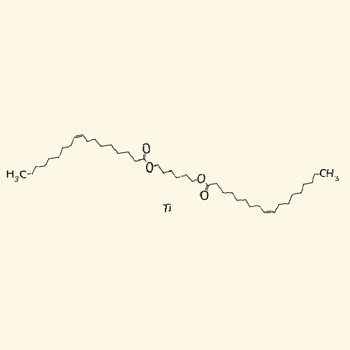 CCCCCCCC/C=C\CCCCCCCC(=O)OCCCCCCOC(=O)CCCCCCC/C=C\CCCCCCCC.[Ti]